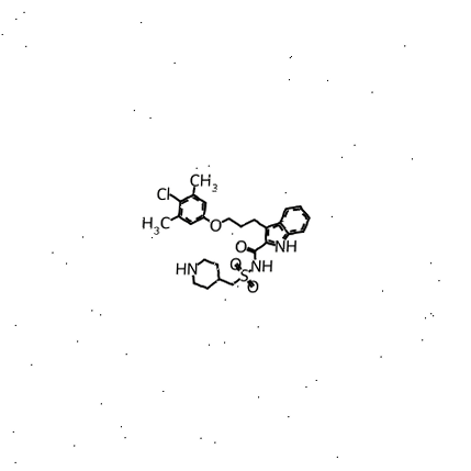 Cc1cc(OCCCc2c(C(=O)NS(=O)(=O)CC3CCNCC3)[nH]c3ccccc23)cc(C)c1Cl